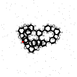 C1=CC(c2ccccc2)Cc2c1oc1ccc3oc4ccc(-c5cc(-c6ccc7oc8ccc9oc%10ccc(-c%11ccccc%11)cc%10c9c8c7c6)cc(-c6ccc7oc8ccc9oc%10ccc(-c%11ccccc%11)cc%10c9c8c7c6)c5)cc4c3c21